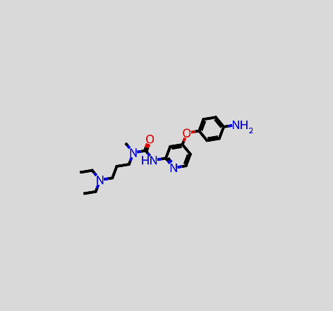 CCN(CC)CCCN(C)C(=O)Nc1cc(Oc2ccc(N)cc2)ccn1